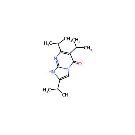 CC(C)c1cn2c(=O)c(C(C)C)c(C(C)C)nc2[nH]1